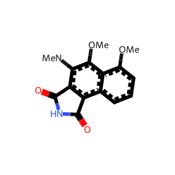 CNc1c2c(c3cccc(OC)c3c1OC)C(=O)NC2=O